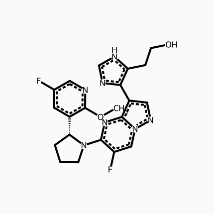 COc1ncc(F)cc1[C@H]1CCCN1c1nc2c(-c3nc[nH]c3CCO)cnn2cc1F